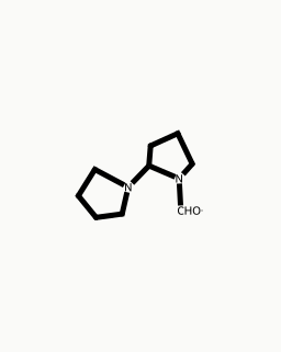 O=[C]N1CCCC1N1CCCC1